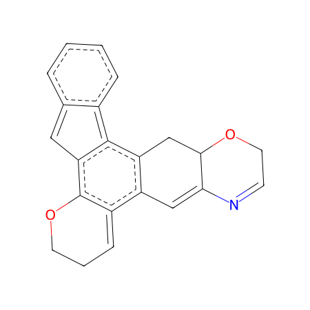 C1=NC2=Cc3c(c4c(c5c3=CCCO5)C=c3ccccc3=4)CC2OC1